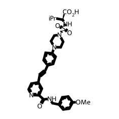 COc1ccc(CNC(=O)c2cc(C#Cc3ccc(N4CCN(S(=O)(=O)N[C@H](C(=O)O)C(C)C)CC4)cc3)ccn2)cc1